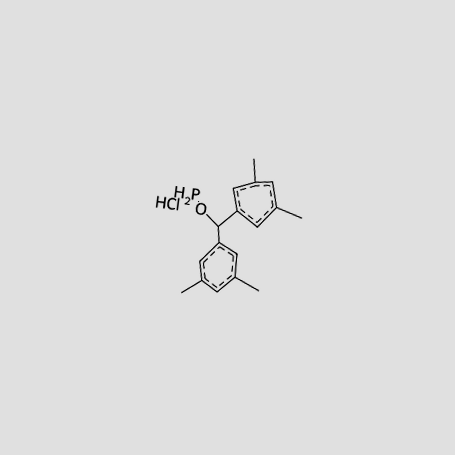 Cc1cc(C)cc(C(OP)c2cc(C)cc(C)c2)c1.Cl